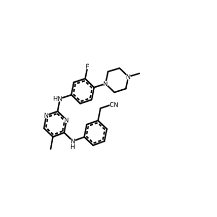 Cc1cnc(Nc2ccc(N3CCN(C)CC3)c(F)c2)nc1Nc1cccc(CC#N)c1